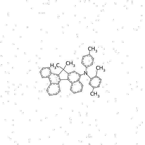 Cc1ccc(N(c2cc(C)ccc2C)c2cc3c(c4ccccc24)-c2c(c4ccccc4c4ccccc24)C3(C)C)cc1